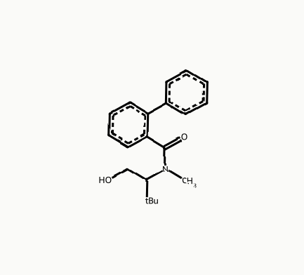 CN(C(=O)c1ccccc1-c1ccccc1)C(CO)C(C)(C)C